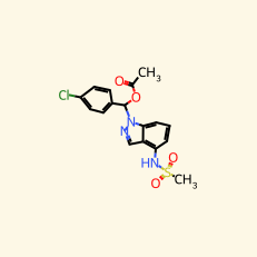 CC(=O)OC(c1ccc(Cl)cc1)n1ncc2c(NS(C)(=O)=O)cccc21